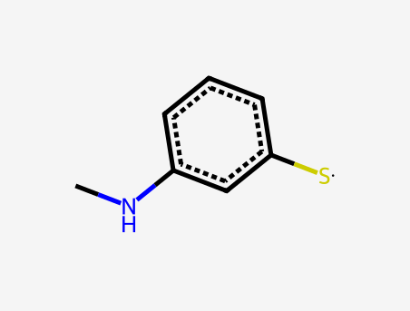 CNc1cccc([S])c1